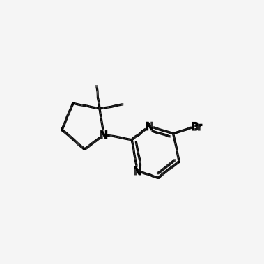 CC1(C)CCCN1c1nccc(Br)n1